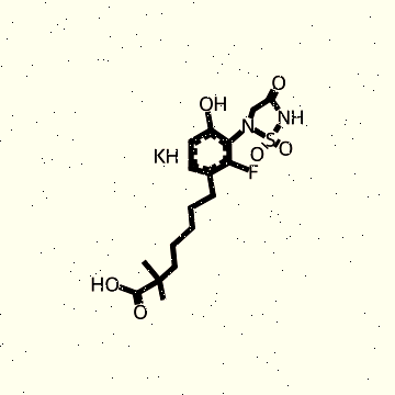 CC(C)(CCCCCc1ccc(O)c(N2CC(=O)NS2(=O)=O)c1F)C(=O)O.[KH]